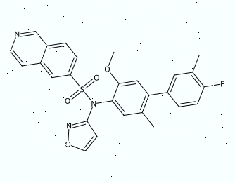 COc1cc(-c2ccc(F)c(C)c2)c(C)cc1N(c1ccon1)S(=O)(=O)c1ccc2cnccc2c1